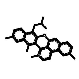 Cc1ccc2c(CC(C)C)c3c(c(C)c2c1)-c1c2c(cc4ccc(C)cc4c2cc[n+]1C)O3